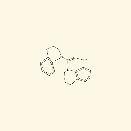 CC(C)N=C(N1CCCc2ccccc21)N1CCCc2ccccc21